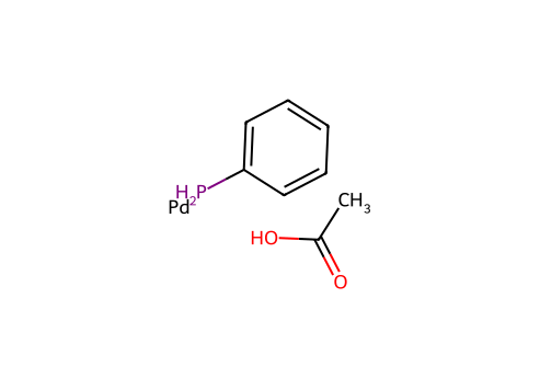 CC(=O)O.Pc1ccccc1.[Pd]